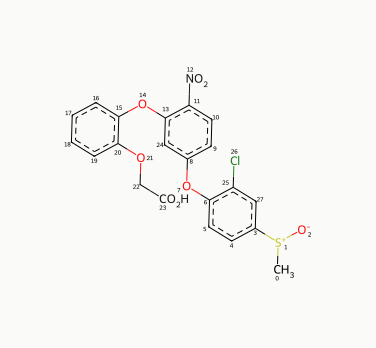 C[S+]([O-])c1ccc(Oc2ccc([N+](=O)[O-])c(Oc3ccccc3OCC(=O)O)c2)c(Cl)c1